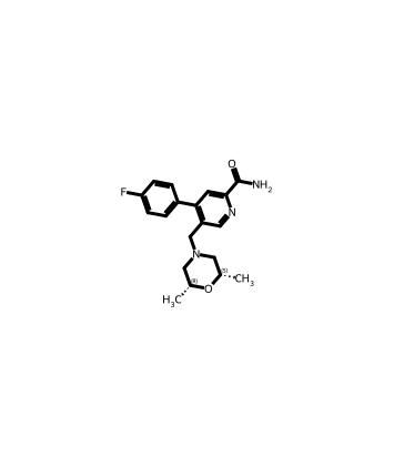 C[C@@H]1CN(Cc2cnc(C(N)=O)cc2-c2ccc(F)cc2)C[C@H](C)O1